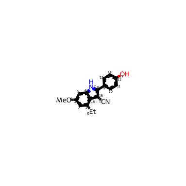 CCc1cc(OC)cc2[nH]c(-c3ccc(O)cc3)c(C#N)c12